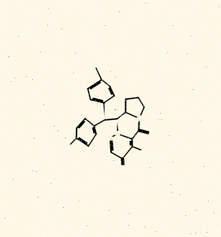 Cc1ccc([C@H](c2ccc(F)cc2)[C@H]2[C@H]3CCCN3C(=O)c3c(O)c(=O)cnn32)cc1